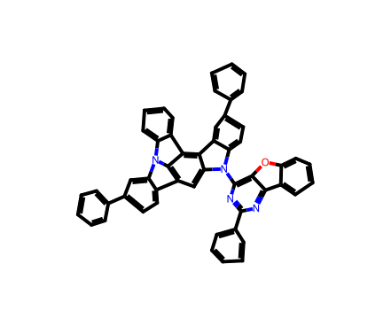 c1ccc(-c2ccc3c(c2)c2c4c5ccccc5n5c6cc(-c7ccccc7)ccc6c(cc2n3-c2nc(-c3ccccc3)nc3c2oc2ccccc23)c45)cc1